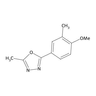 COc1ccc(-c2nnc(C)o2)cc1C